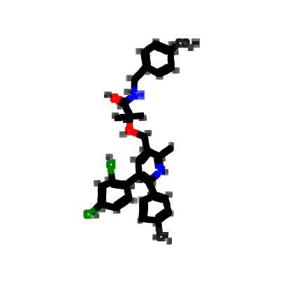 Cc1nc(-c2ccc(C(F)(F)F)cc2)c(-c2ccc(Cl)cc2Cl)cc1COC(C)(C)C(=O)NCc1ccc(C(=O)O)cc1